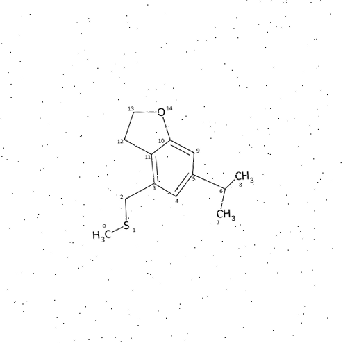 CSCc1cc(C(C)C)cc2c1CCO2